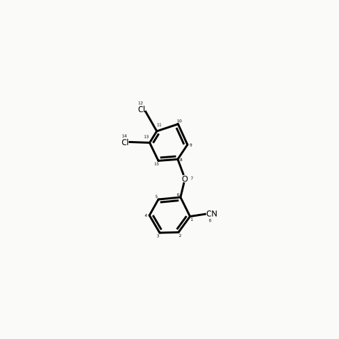 N#Cc1ccccc1Oc1ccc(Cl)c(Cl)c1